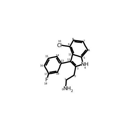 NCCc1[nH]c2cccc(Cl)c2c1-c1cccc(F)c1